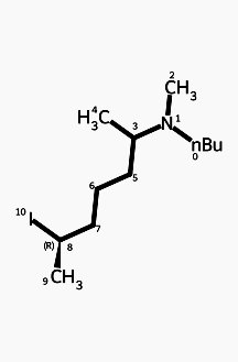 CCCCN(C)C(C)CCC[C@@H](C)I